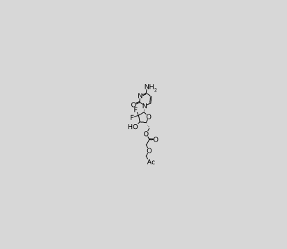 CC(=O)COCC(=O)OC[C@H]1O[C@@H](n2ccc(N)nc2=O)C(F)(F)C1O